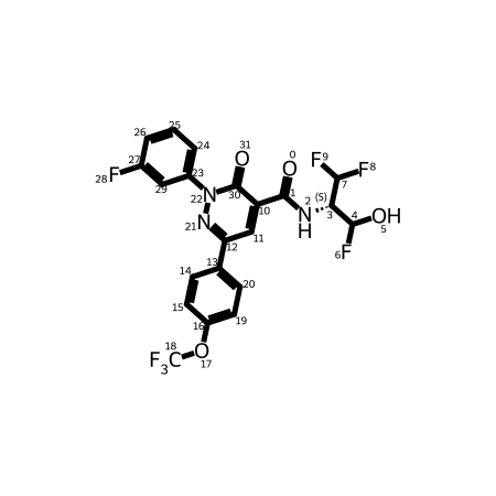 O=C(N[C@@H](C(O)F)C(F)F)c1cc(-c2ccc(OC(F)(F)F)cc2)nn(-c2cccc(F)c2)c1=O